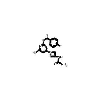 C[C@H](Nc1nc(Cl)cc(N2CC(NC(N)=O)C2)n1)c1ccc(F)cc1